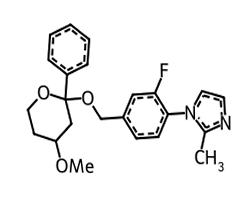 COC1CCOC(OCc2ccc(-n3ccnc3C)c(F)c2)(c2ccccc2)C1